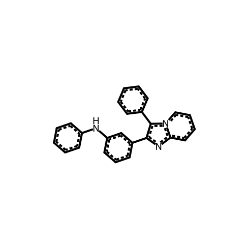 c1ccc(Nc2cccc(-c3nc4ccccn4c3-c3ccccc3)c2)cc1